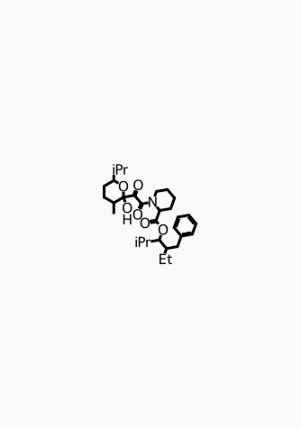 CCC(Cc1ccccc1)C(OC(=O)C1CCCCN1C(=O)C(=O)C1(O)OC(C(C)C)CCC1C)C(C)C